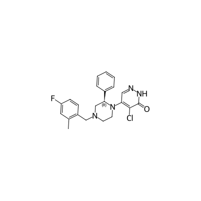 Cc1cc(F)ccc1CN1CCN(c2cn[nH]c(=O)c2Cl)[C@H](c2ccccc2)C1